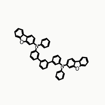 c1ccc(N(c2cccc(-c3cccc(-c4cccc(N(c5ccccc5)c5ccc6c(c5)oc5ccccc56)c4)c3)c2)c2ccc3c(c2)oc2ccccc23)cc1